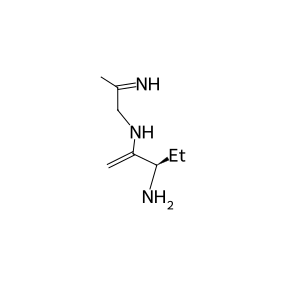 C=C(NCC(C)=N)[C@H](N)CC